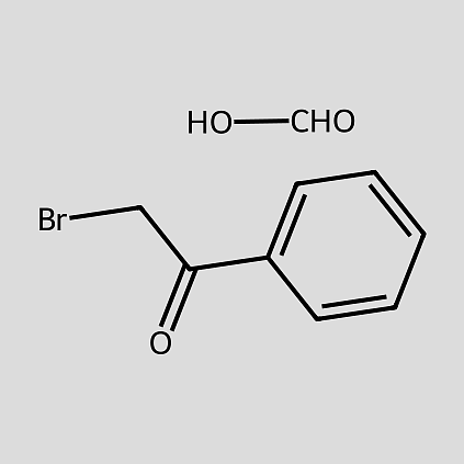 O=C(CBr)c1ccccc1.O=CO